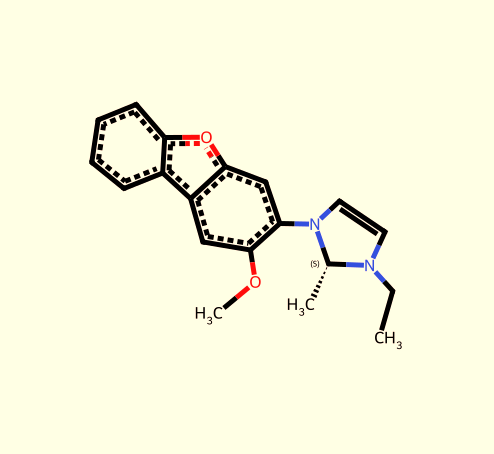 CCN1C=CN(c2cc3oc4ccccc4c3cc2OC)[C@H]1C